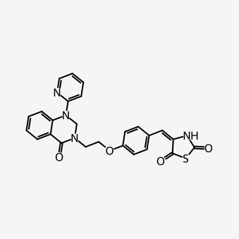 O=C1NC(=Cc2ccc(OCCN3CN(c4ccccn4)c4ccccc4C3=O)cc2)C(=O)S1